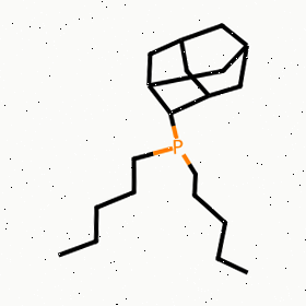 CCCCCP(CCCCC)C1C2CC3CC(C2)CC1C3